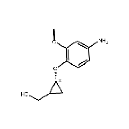 COc1cc(N)ccc1O[C@@H]1CC1CO